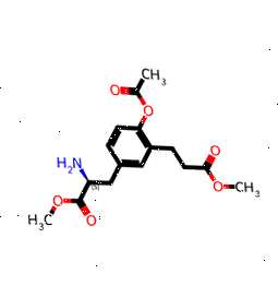 COC(=O)CCc1cc(C[C@H](N)C(=O)OC)ccc1OC(C)=O